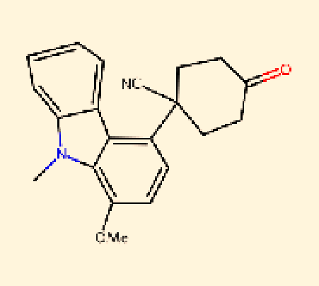 COc1ccc(C2(C#N)CCC(=O)CC2)c2c3ccccc3n(C)c12